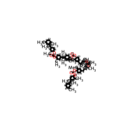 COc1cc(CCC[Si](C)(C)O[Si](C)(C)O[Si](C)(C)CCCc2ccc(OC(=O)Oc3ccc(C(C)(C)c4ccc(OC(=O)Oc5ccc(C(C)(C)c6cccc(C)c6)cc5C)c(C)c4)cc3C)c(OC)c2)ccc1OC(=O)Oc1ccc(C(C)(C)c2cccc(C)c2)cc1C